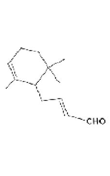 CC1=CCCC(C)(C)C1CC=CC=O